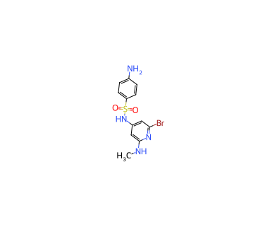 CNc1cc(NS(=O)(=O)c2ccc(N)cc2)cc(Br)n1